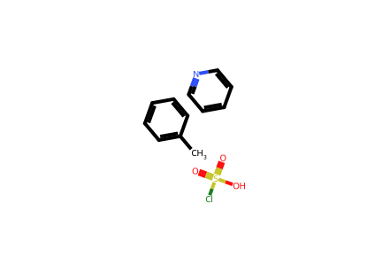 Cc1ccccc1.O=S(=O)(O)Cl.c1ccncc1